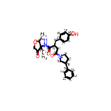 CC1OCC(=O)C1(C)NC(=O)C(CC(=O)N1CCC(c2ccccc2)C1)Cc1ccc(O)cc1